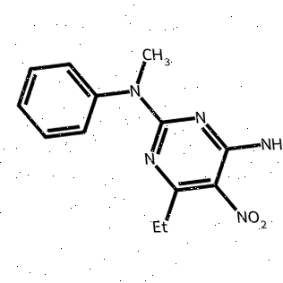 CCc1nc(N(C)c2ccccc2)nc(N)c1[N+](=O)[O-]